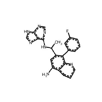 CC(Nc1ncnc2[nH]cnc12)c1cc(N)c2cccnc2c1-c1cccc(F)c1